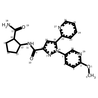 COc1ccc(-n2nc(C(=O)NC3CCCC3C(N)=O)cc2-c2ccccn2)cn1